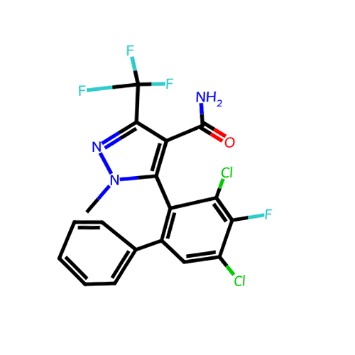 Cn1nc(C(F)(F)F)c(C(N)=O)c1-c1c(-c2ccccc2)cc(Cl)c(F)c1Cl